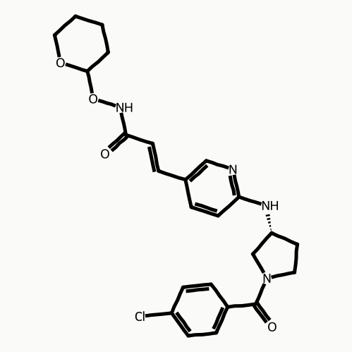 O=C(C=Cc1ccc(N[C@@H]2CCN(C(=O)c3ccc(Cl)cc3)C2)nc1)NOC1CCCCO1